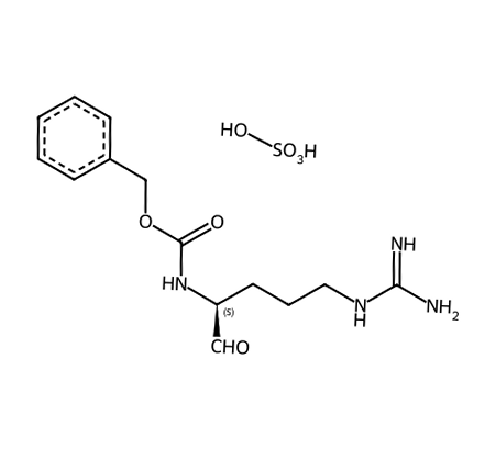 N=C(N)NCCC[C@@H](C=O)NC(=O)OCc1ccccc1.O=S(=O)(O)O